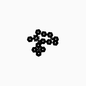 c1ccc(-c2cccc(N(c3cccc(-c4ccc5c(c4)c4c6c(ccc4n5-c4nc(-c5ccccc5)nc(-c5ccccc5)n4)[Si](c4ccccc4)(c4ccccc4)c4ccccc4-6)c3)c3cccc4ccccc34)c2)cc1